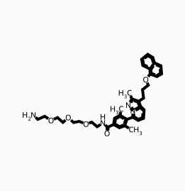 Cc1cc(C(=O)NCCOCCOCCOCCN)cc(C)c1-c1cccc2c(CCCOc3cccc4ccccc34)c(C)nn12